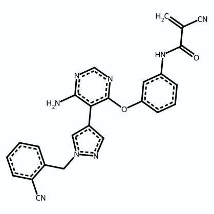 C=C(C#N)C(=O)Nc1cccc(Oc2ncnc(N)c2-c2cnn(Cc3ccccc3C#N)c2)c1